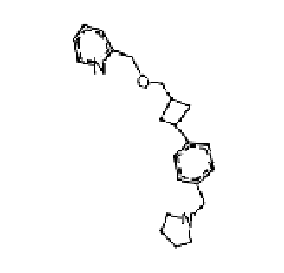 c1ccc(COCC2CC(c3ccc(CN4CCCC4)cc3)C2)nc1